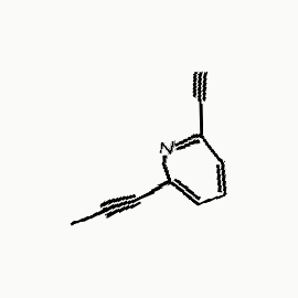 C#Cc1cccc(C#CC)n1